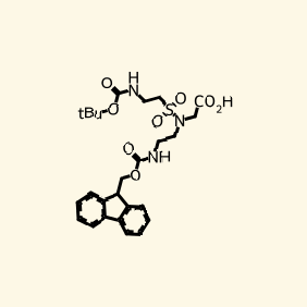 CC(C)(C)OC(=O)NCCS(=O)(=O)N(CCNC(=O)OCC1c2ccccc2-c2ccccc21)CC(=O)O